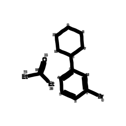 Brc1cccc(C2CCCCC2)c1.CCC(=O)CC